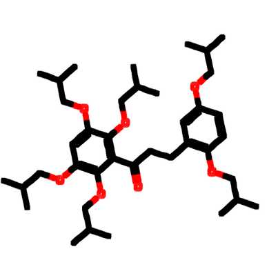 CC(C)COc1ccc(OCC(C)C)c(CCC(=O)c2c(OCC(C)C)c(OCC(C)C)cc(OCC(C)C)c2OCC(C)C)c1